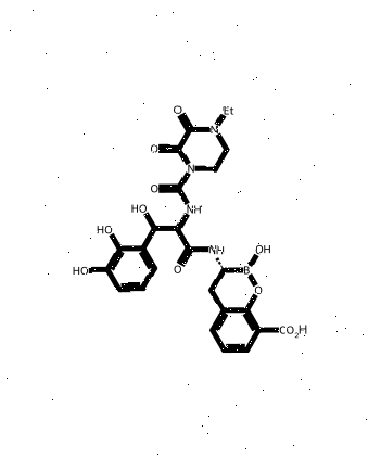 CCN1CCN(C(=O)NC(C(=O)N[C@H]2Cc3cccc(C(=O)O)c3OB2O)C(O)c2cccc(O)c2O)C(=O)C1=O